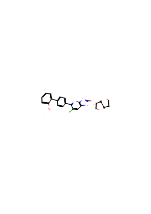 COc1ccccc1-c1ccc(-c2nc3nc(O[C@@H]4CO[C@@H]5CCO[C@@H]54)[nH]c3cc2Cl)cc1